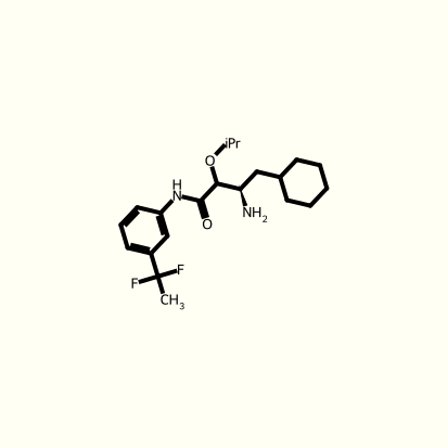 CC(C)OC(C(=O)Nc1cccc(C(C)(F)F)c1)[C@H](N)CC1CCCCC1